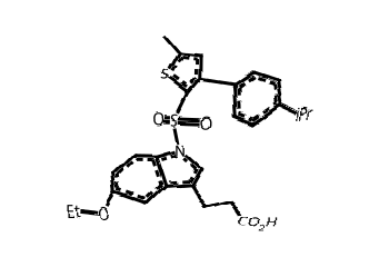 CCOc1ccc2c(c1)c(CCC(=O)O)cn2S(=O)(=O)c1sc(C)cc1-c1ccc(C(C)C)cc1